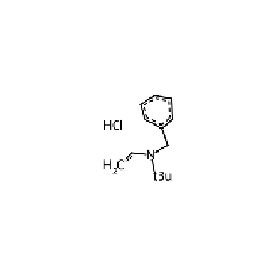 C=CN(Cc1ccccc1)C(C)(C)C.Cl